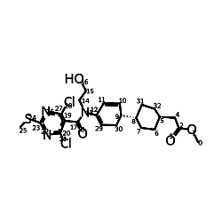 COC(=O)C[C@H]1CC[C@H](C2C=CC(N(CCO)C(=O)c3c(Cl)nc(SC)nc3Cl)=CC2)CC1